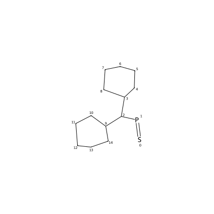 S=PC(C1CCCCC1)C1CCCCC1